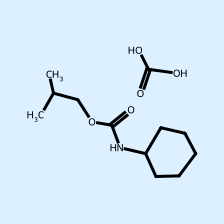 CC(C)COC(=O)NC1CCCCC1.O=C(O)O